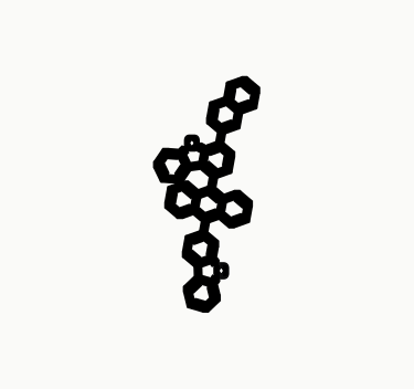 c1ccc2cc(-c3ccc(-c4c5ccccc5c(-c5ccc6c(c5)oc5ccccc56)c5ccccc45)c4c3oc3ccccc34)ccc2c1